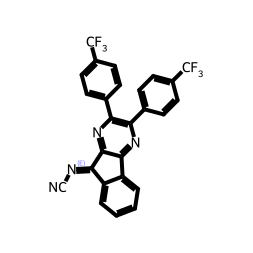 N#C/N=C1\c2ccccc2-c2nc(-c3ccc(C(F)(F)F)cc3)c(-c3ccc(C(F)(F)F)cc3)nc21